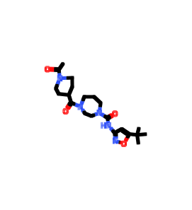 CC(=O)N1CCC(C(=O)N2CCCN(C(=O)Nc3cc(C(C)(C)C)on3)CC2)CC1